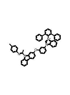 C/C(=N\c1ccc(C)cc1)n1c2ccccc2c2ccc(Oc3cccc(-n4c[n+](-c5c(-c6ccccc6)cccc5-c5ccccc5)c5ccccc54)c3)cc21